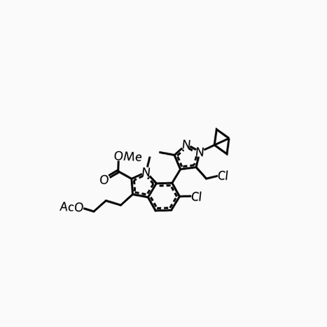 COC(=O)c1c(CCCOC(C)=O)c2ccc(Cl)c(-c3c(C)nn(C45CC4C5)c3CCl)c2n1C